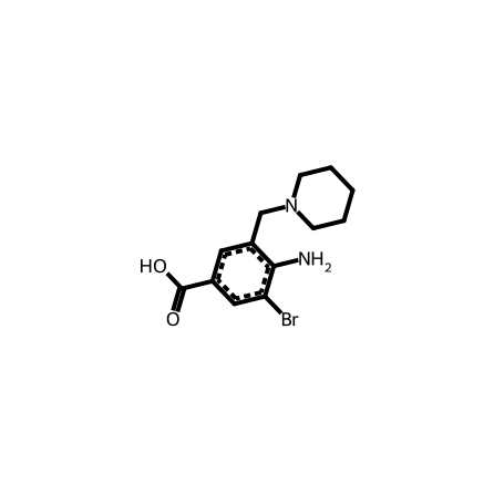 Nc1c(Br)cc(C(=O)O)cc1CN1CCCCC1